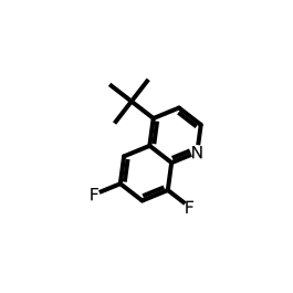 CC(C)(C)c1ccnc2c(F)cc(F)cc12